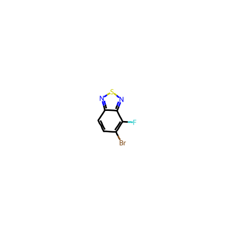 Fc1c(Br)ccc2nsnc12